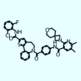 Cc1cc(C(=O)Nc2ccc(C(=O)N3CCc4cc(C(=O)Nc5c(F)cccc5Cl)sc4-c4ccccc43)cc2)c(N2CC3(CCOCC3)C2)nc1C